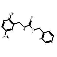 Nc1ccc(S)c(CNC(=O)OCc2ccccc2)c1